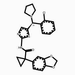 O=C(Nc1ncc([C@H](c2ccccc2Cl)N2C[CH]CC2)s1)C1(c2ccc3c(c2)OCO3)CC1